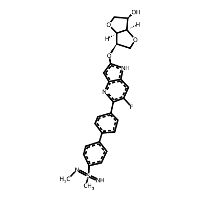 CN=S(C)(=N)c1ccc(-c2ccc(-c3nc4cc(O[C@@H]5CO[C@H]6[C@@H]5OC[C@H]6O)[nH]c4cc3F)cc2)cc1